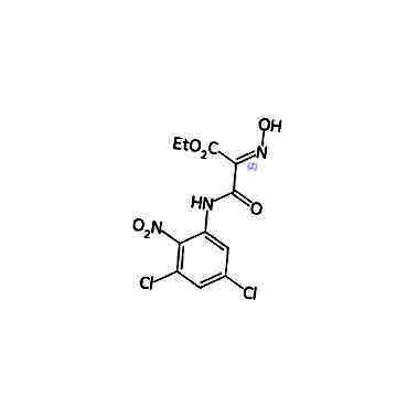 CCOC(=O)/C(=N\O)C(=O)Nc1cc(Cl)cc(Cl)c1[N+](=O)[O-]